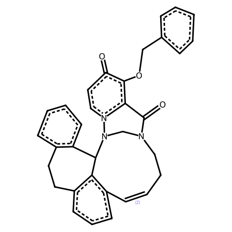 O=C1c2c(OCc3ccccc3)c(=O)ccn2N2CN1CC/C=C\c1cccc3c1C2c1ccccc1CC3